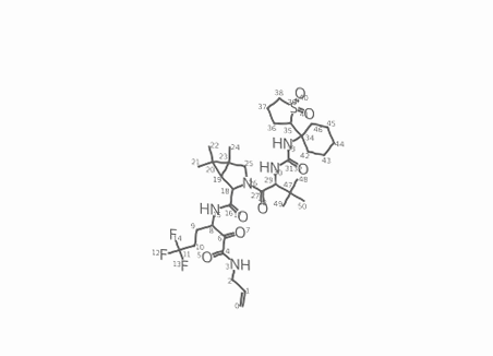 C=CCNC(=O)C(=O)C(CCC(F)(F)F)NC(=O)C1C2C(C)(C)C2(C)CN1C(=O)[C@@H](NC(=O)NC1(C2CCCS2(=O)=O)CCCCC1)C(C)(C)C